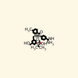 Cc1ccc(C(=O)Nc2ccc(C(=N)N)cc2)c(NCc2cc(CO)cc(OC(C)C)c2OCC(=O)O)c1